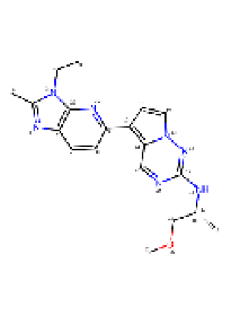 CCn1c(C)nc2ccc(-c3ccn4nc(N[C@H](C)COC)ncc34)nc21